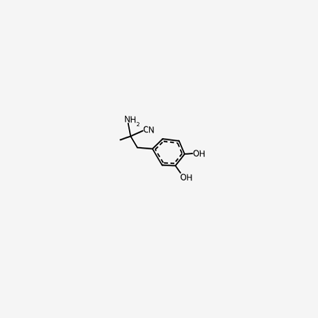 CC(N)(C#N)Cc1ccc(O)c(O)c1